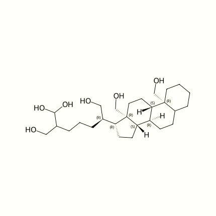 OCC(CCC[C@@H](CO)[C@H]1CC[C@H]2[C@@H]3CCC4CCCC[C@]4(CO)[C@H]3CC[C@]12CO)C(O)O